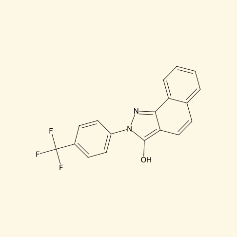 Oc1c2ccc3ccccc3c2nn1-c1ccc(C(F)(F)F)cc1